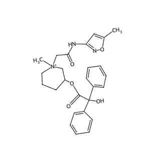 Cc1cc(NC(=O)C[N+]2(C)CCCC(OC(=O)C(O)(c3ccccc3)c3ccccc3)C2)no1